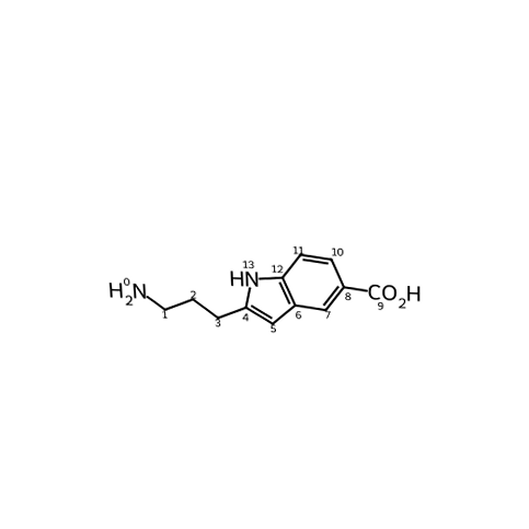 NCCCc1cc2cc(C(=O)O)ccc2[nH]1